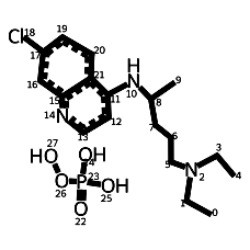 CCN(CC)CCCC(C)Nc1ccnc2cc(Cl)ccc12.O=P(O)(O)OO